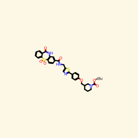 CC(C)(C)OC(=O)N1CCCC(COc2ccc(-c3ncc(CNC(=O)c4ccc5c(c4)NC(=O)c4ccccc4S5(=O)=O)s3)cc2)C1